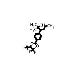 CCCC(c1ccc(C(=O)OC(C(F)(F)F)C(F)(F)F)cc1)C(C)(C)C